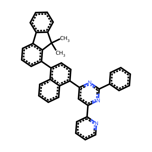 CC1(C)c2ccccc2-c2cccc(-c3ccc(-c4cc(-c5ccccn5)nc(-c5ccccc5)n4)c4ccccc34)c21